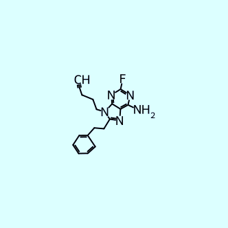 C#CCCCn1c(CCc2ccccc2)nc2c(N)nc(F)nc21